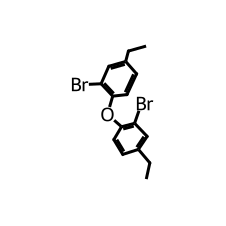 CCc1ccc(Oc2ccc(CC)cc2Br)c(Br)c1